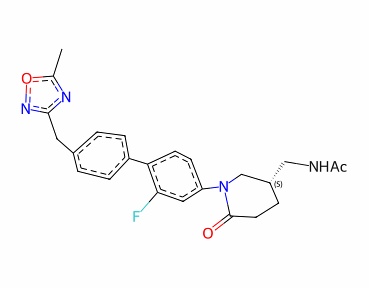 CC(=O)NC[C@@H]1CCC(=O)N(c2ccc(-c3ccc(Cc4noc(C)n4)cc3)c(F)c2)C1